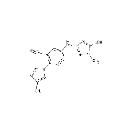 Cc1cn(-c2ccc(Nc3nc(C)n(C)n3)cc2C#N)cn1